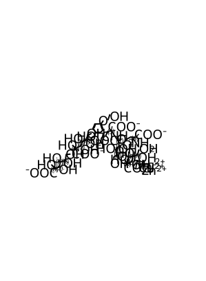 N[C@@H](CC(=O)O)C(=O)[O-].N[C@@H](CC(=O)O[C@@H](C(=O)[O-])[C@@H](O)[C@H](O)[C@H](O)CO)C(=O)[O-].O=C([O-])[C@H](O)[C@@H](O)[C@H](O)[C@H](O)CO.O=C([O-])[C@H](O)[C@@H](O)[C@H](O)[C@H](O)CO.O=C([O-])[C@H](O)[C@@H](O)[C@H](O)[C@H](O)CO.OCCOc1ccccc1.[Cu+2].[Mg+2].[Zn+2]